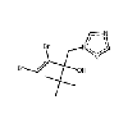 CC(C)(C)C(O)(Cn1cncn1)C(Br)=CBr